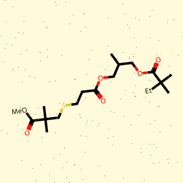 CCC(C)(C)C(=O)OCC(C)COC(=O)CCSCC(C)(C)C(=O)OC